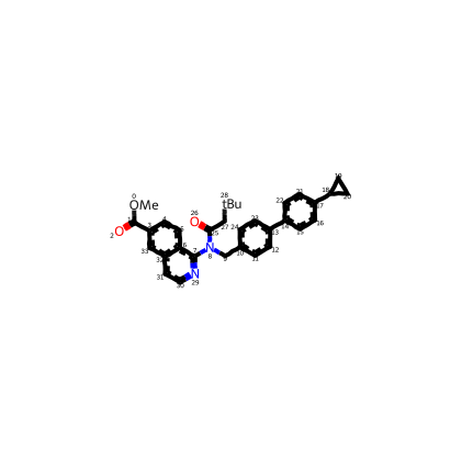 COC(=O)c1ccc2c(N(Cc3ccc(-c4ccc(C5CC5)cc4)cc3)C(=O)CC(C)(C)C)nccc2c1